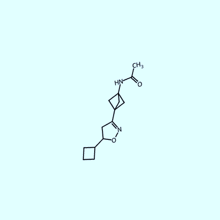 CC(=O)NC12CC(C3=NOC(C4CCC4)C3)(C1)C2